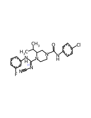 CC(C)C1CN(C(=O)Nc2ccc(Cl)cc2)CCN1/C(=N/C#N)Nc1cccc(F)c1